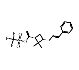 C=C(OS(=O)(=O)C(F)(F)F)[C@@H]1C[C@H](CC=Cc2ccccc2)C1(C)C